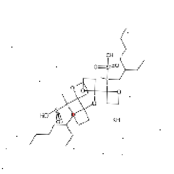 CCCCC(CC)CC(C)(C1(C2(OC3(C4(C(C)(CC(CC)CCCC)S(=O)(=O)O)CCO4)CCO3)CCO2)CCO1)S(=O)(=O)O.[KH]